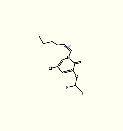 C=C1C(OC(F)F)=CC(Cl)=CN1/C=C\CCCC